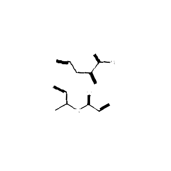 C=CC(=O)NC(C)C=C.C=CCC(=C)C(N)=O